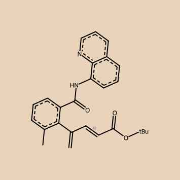 C=C(/C=C/C(=O)OC(C)(C)C)c1c(C)cccc1C(=O)Nc1cccc2cccnc12